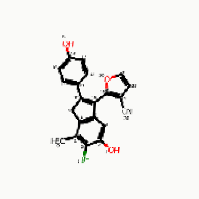 Cc1c(Br)c(O)cc2c1CC(c1ccc(O)cc1)=C2c1occc1C#N